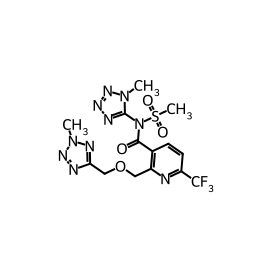 Cn1nnc(COCc2nc(C(F)(F)F)ccc2C(=O)N(c2nnnn2C)S(C)(=O)=O)n1